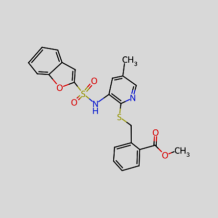 COC(=O)c1ccccc1CSc1ncc(C)cc1NS(=O)(=O)c1cc2ccccc2o1